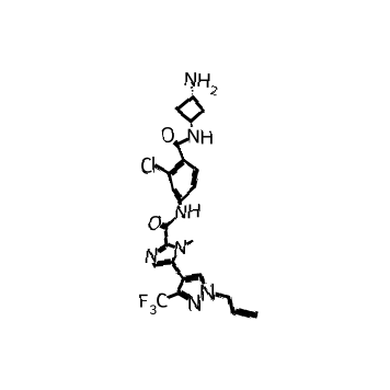 C=CCn1cc(-c2cnc(C(=O)Nc3ccc(C(=O)N[C@H]4C[C@@H](N)C4)c(Cl)c3)n2C)c(C(F)(F)F)n1